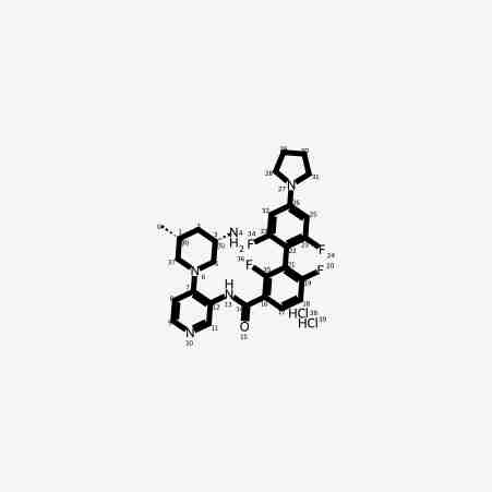 C[C@@H]1C[C@H](N)CN(c2ccncc2NC(=O)c2ccc(F)c(-c3c(F)cc(N4CCCC4)cc3F)c2F)C1.Cl.Cl